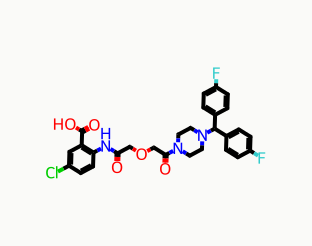 O=C(COCC(=O)N1CCN(C(c2ccc(F)cc2)c2ccc(F)cc2)CC1)Nc1ccc(Cl)cc1C(=O)O